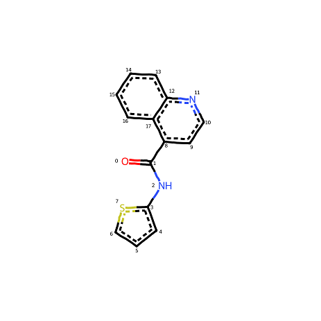 O=C(Nc1cccs1)c1ccnc2ccccc12